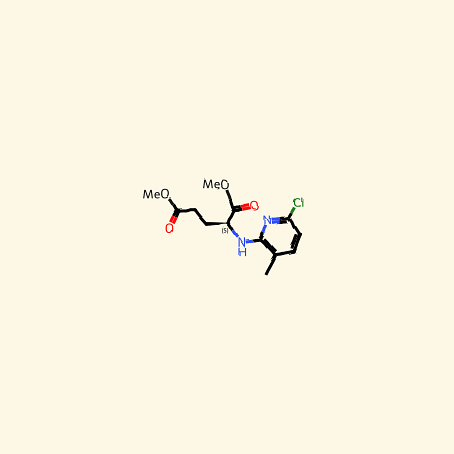 COC(=O)CC[C@H](Nc1nc(Cl)ccc1C)C(=O)OC